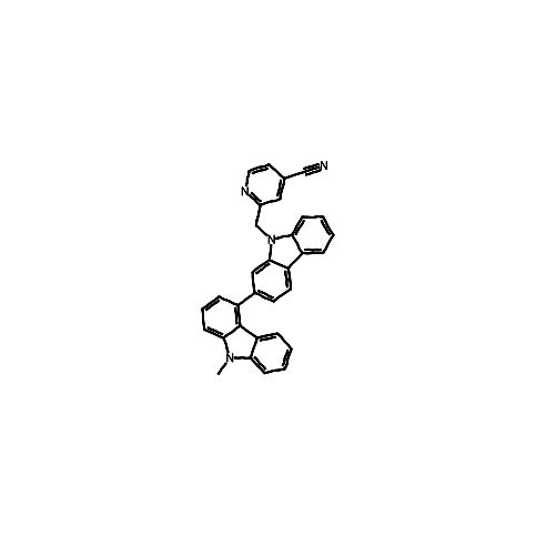 Cn1c2ccccc2c2c(-c3ccc4c5ccccc5n(Cc5cc(C#N)ccn5)c4c3)cccc21